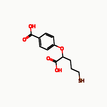 O=C(O)c1ccc(OC(CCCS)C(=O)O)cc1